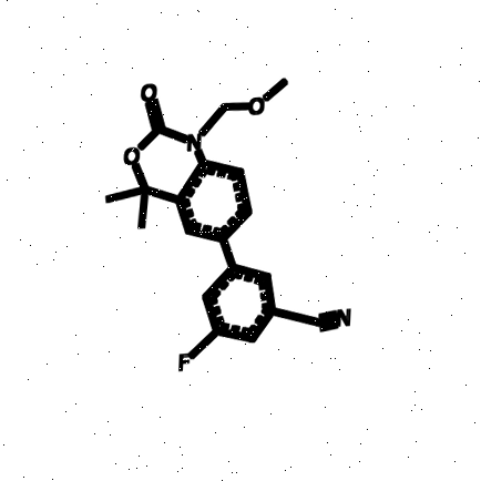 COCN1C(=O)OC(C)(C)c2cc(-c3cc(F)cc(C#N)c3)ccc21